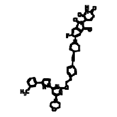 Cc1cccc(-c2ccn(-c3cc(N4CCOCC4)nc(OCCc4ccc(C#CC5CCN(c6cc7c(cc6F)C(=O)N(C6CCC(=O)NC6=O)C7=O)CC5)cc4)n3)n2)c1